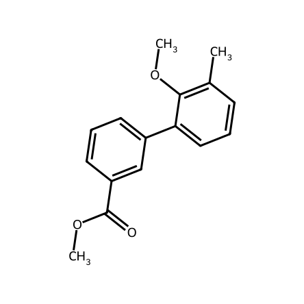 COC(=O)c1cccc(-c2cccc(C)c2OC)c1